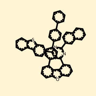 c1ccc(-c2ccc(-c3ccc(-c4cccc5oc6cccc(-c7nc(-c8ccc9ccccc9c8)nc(-c8ccc9c(c8)sc8ccccc89)n7)c6c45)cc3)cc2)cc1